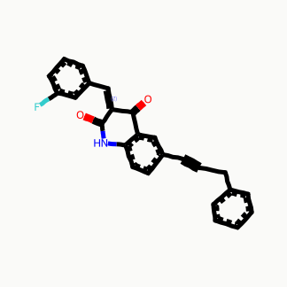 O=C1Nc2ccc(C#CCc3ccccc3)cc2C(=O)/C1=C/c1cccc(F)c1